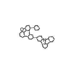 c1ccc(-c2ccc3oc4cccc5c6ccc(-c7ccc8c(c7)c7cccc9c%10ccccc%10n8c97)cc6c2c3c45)cc1